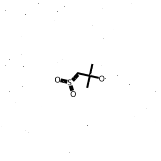 CC(C)([O])C=S(=O)=O